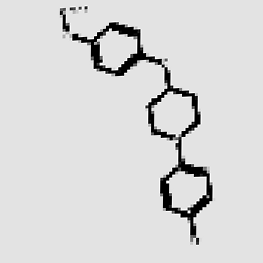 CCCCCOc1ccc(OC2CCN(c3ccc([O])cn3)CC2)cc1